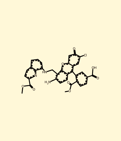 COC(=O)c1ccc2cccc(NCc3c(N)ccc4c(-c5cc(C(=O)O)ccc5C(=O)OC)c5cc(Cl)c(=O)cc-5oc34)c2n1